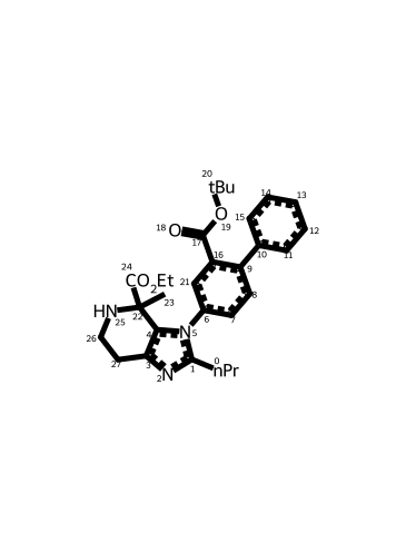 CCCc1nc2c(n1-c1ccc(-c3ccccc3)c(C(=O)OC(C)(C)C)c1)C(C)(C(=O)OCC)NCC2